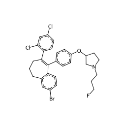 FCCCN1CCC(Oc2ccc(C3=C(c4ccc(Cl)cc4Cl)CCCc4cc(Br)ccc43)cc2)C1